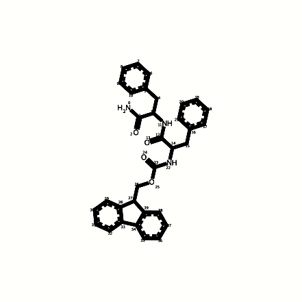 NC(=O)C(Cc1ccccc1)NC(=O)C(Cc1ccccc1)NC(=O)OCC1c2ccccc2-c2ccccc21